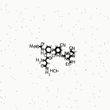 CCNc1nc(Nc2cc(C#N)cc(N3CC[C@@H](NC(=O)OC)[C@H](OC(=O)[C@H](N)CC(N)=O)C3)c2Cl)nn2c(C#N)cnc12.Cl